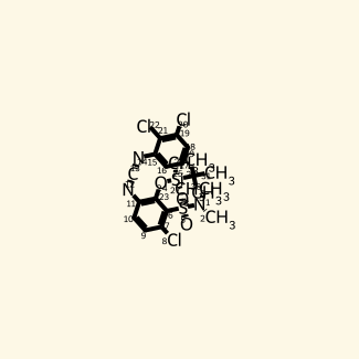 CN(C)S(=O)(=O)c1c(Cl)ccc(N=C=Nc2cccc(Cl)c2Cl)c1O[Si](C)(C)C(C)(C)C